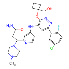 CN1CCN(C(CC(N)=O)c2cc(Nc3cc(-c4cc(Cl)ccc4F)nnc3OC3(CO)CCC3)ccn2)CC1